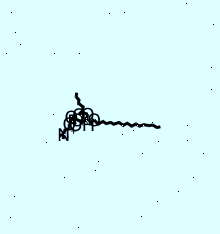 CCCCCCCCCCCCCCCCOC[C@H](COP(=O)(O)OCC[N+](C)(C)C)OC(=O)CCCCC